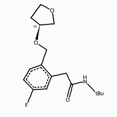 CC(C)(C)NC(=O)Cc1cc(F)ccc1CO[C@H]1CCOC1